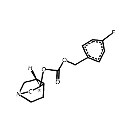 O=C(OCc1ccc(F)cc1)O[C@H]1CN2CCC1CC2